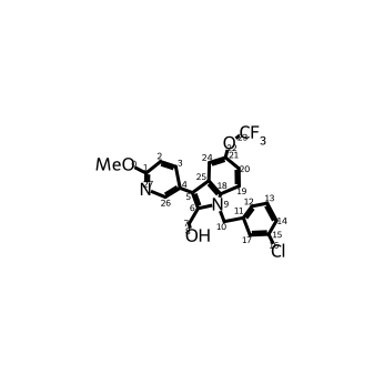 COc1ccc(-c2c(CO)n(Cc3cccc(Cl)c3)c3ccc(OC(F)(F)F)cc23)cn1